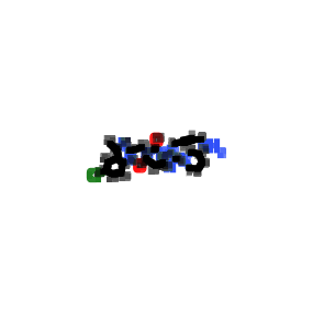 CC#CCn1c(N2CCC[C@@H](N)C2)nc2cc(=O)n(Cc3nc(C)c4cc(Cl)ccc4n3)c(=O)n21